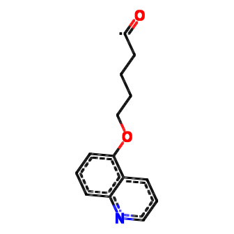 O=[C]CCCCOc1cccc2ncccc12